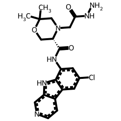 CC1(C)CN(CC(=O)NN)[C@H](C(=O)Nc2cc(Cl)cc3c2[nH]c2cnccc23)CO1